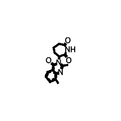 Cc1cccc2c(=O)n(C3CCCC(=O)NC3=O)c(C)nc12